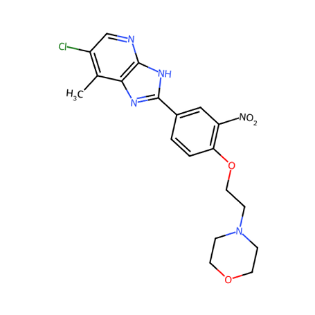 Cc1c(Cl)cnc2[nH]c(-c3ccc(OCCN4CCOCC4)c([N+](=O)[O-])c3)nc12